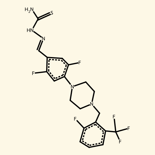 NC(=S)NN=Cc1cc(F)c(N2CCN(Cc3c(F)cccc3C(F)(F)F)CC2)cc1F